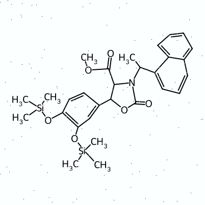 COC(=O)C1C(c2ccc(O[Si](C)(C)C)c(O[Si](C)(C)C)c2)OC(=O)N1C(C)c1cccc2ccccc12